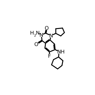 Nn1c(=O)c2cc(F)c(NC3CCCCC3)cc2n(C2CCCC2)c1=O